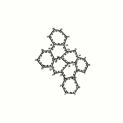 c1ccc2c(c1)c1cccc3cc4c5ccccc5c5cccc6cc2c(c31)c4c65